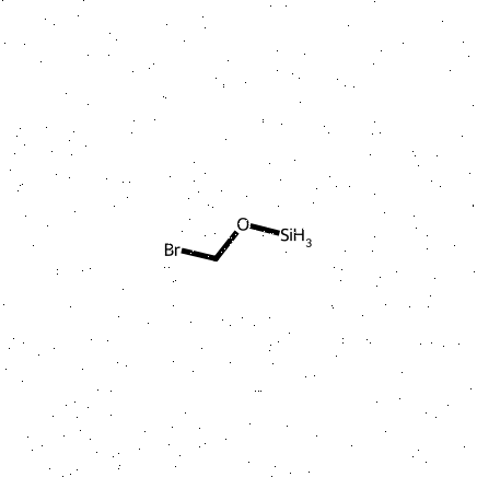 [SiH3]OCBr